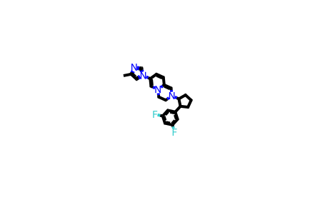 Cc1cn(C2=CN3CCN(C4CCCC4c4cc(F)cc(F)c4)C=C3C=C2)cn1